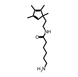 CC1=CC(C)(CCNC(=O)CCCCCN)C(C)=C1C